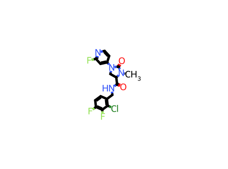 CN1C(=O)N(c2ccnc(F)c2)CC1C(=O)NCc1ccc(F)c(F)c1Cl